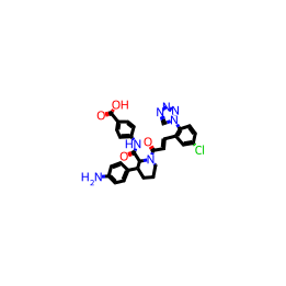 Nc1ccc(C2CCCN(C(=O)/C=C/c3cc(Cl)ccc3-n3cnnn3)C2C(=O)Nc2ccc(C(=O)O)cc2)cc1